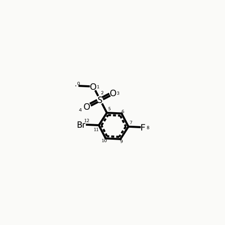 [CH2]OS(=O)(=O)c1cc(F)ccc1Br